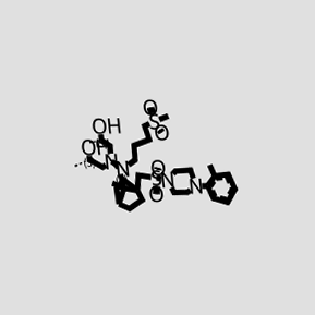 Cc1ccccc1N1CCN(S(=O)(=O)CC23CCC(C[C@@H]2N(CCCCS(C)(=O)=O)N(C[C@H](C)O)C[C@H](C)O)C3(C)C)CC1